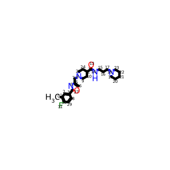 Cc1cc(-c2nc(CN3CCC(C(=O)NCCCN4CCCCC4)CC3)co2)ccc1F